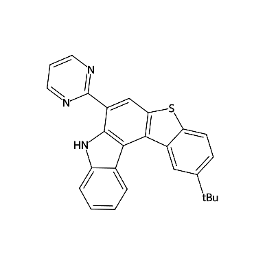 CC(C)(C)c1ccc2sc3cc(-c4ncccn4)c4[nH]c5ccccc5c4c3c2c1